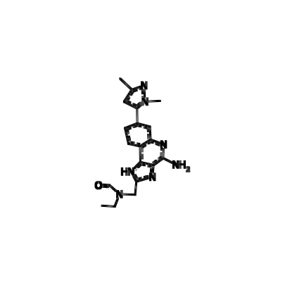 CCN(C=O)Cc1nc2c(N)nc3cc(-c4cc(C)nn4C)ccc3c2[nH]1